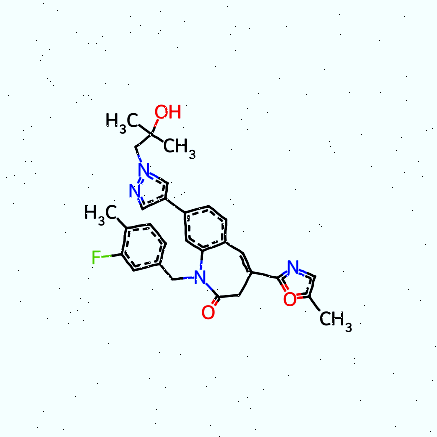 Cc1cnc(C2=Cc3ccc(-c4cnn(CC(C)(C)O)c4)cc3N(Cc3ccc(C)c(F)c3)C(=O)C2)o1